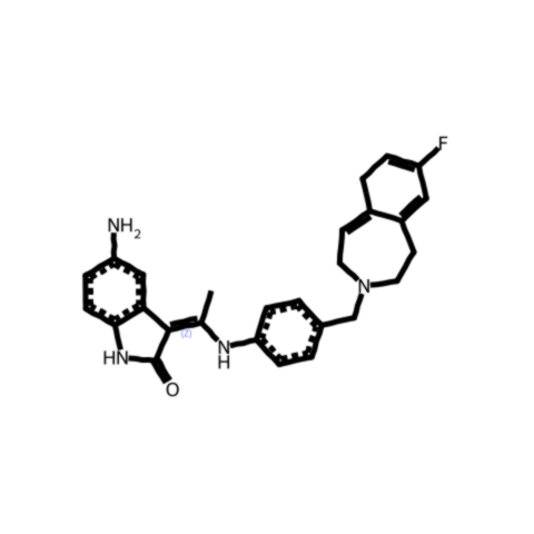 C/C(Nc1ccc(CN2CC=C3CC=C(F)C=C3CC2)cc1)=C1/C(=O)Nc2ccc(N)cc21